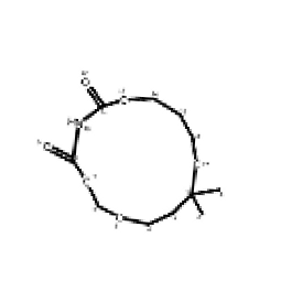 CC1(C)CCCCCC(=O)NC(=O)CCCCC1